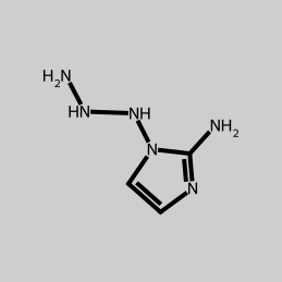 NNNn1ccnc1N